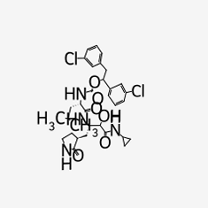 CC(C)C[C@H](NC(=O)OC(Cc1cccc(Cl)c1)c1cccc(Cl)c1)C(=O)N[C@@H](C[C@@H]1CCNC1=O)C(O)C(=O)NC1CC1